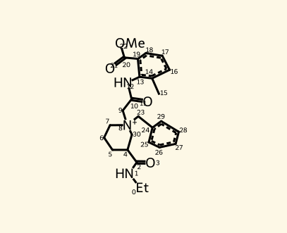 CCNC(=O)C1CCC[N+](CC(=O)Nc2c(C)cccc2C(=O)OC)(Cc2ccccc2)C1